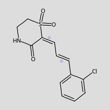 O=C1NCCS(=O)(=O)/C1=C/C=C/c1ccccc1Cl